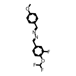 COc1ccc(C=NN=Cc2ccc(OC(F)F)c(F)c2)cc1